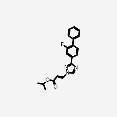 CC(C)OC(=O)C=Cn1cnc(-c2ccc(-c3ccccc3)c(F)c2)n1